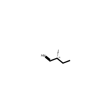 CC[C@@H](I)C=N